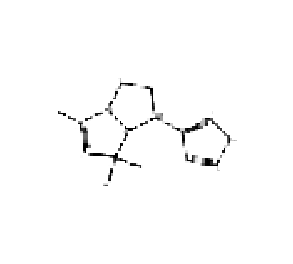 CC1=CC(C)(C)C2C1CCC2C1=CCC=C1